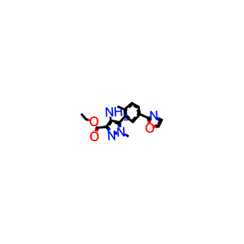 CCOC(=O)c1nn(C)c(-c2cc(-c3ncco3)ccc2C)c1N